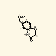 CC(=O)OCc1ccc2c(n1)NC(=O)CO2